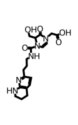 O=C(O)CN1C=CN(C(=O)NCCCc2ccc3c(n2)NCCC3)C(CO)C1=O